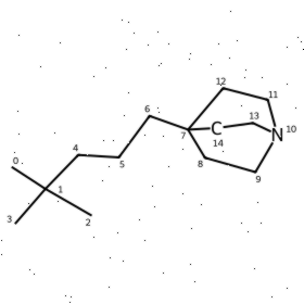 CC(C)(C)CCCC12CCN(CC1)CC2